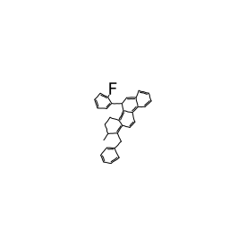 CC1CCc2c3c(ccc2=C1Cc1ccccc1)=c1ccccc1=CC3c1ccccc1F